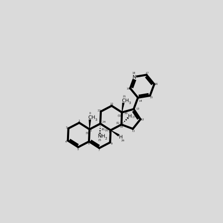 C[C@]12CCC=CC1=CC[C@H]1[C@@H]3CC=C(c4cccnc4)[C@@]3(C)CC[C@@]12N